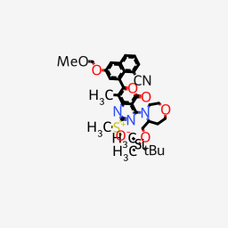 COCOc1cc(-c2oc(=O)c3c(N4CCOCCC4CO[Si](C)(C)C(C)(C)C)nc([S+](C)[O-])nc3c2C)c2c(C#N)cccc2c1